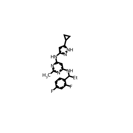 CCC(Nc1cc(Nc2cc(C3CC3)[nH]n2)nc(C)n1)c1ccc(F)cc1F